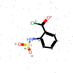 O=C(Cl)c1ccccc1N[SH](=O)=O